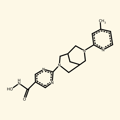 Cc1ccnc(N2CC3CC(C2)CN(c2ncc(C(=O)NO)cn2)C3)c1